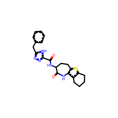 O=C(NC1CCc2sc3c(c2NC1=O)CCCC3)c1nnc(Cc2ccccc2)[nH]1